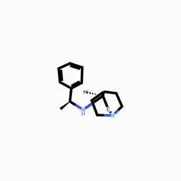 C[C@H](N[C@@H]1CN2CCC1CC2)c1ccccc1